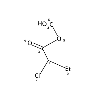 CCC(Cl)C(=O)OC(=O)O